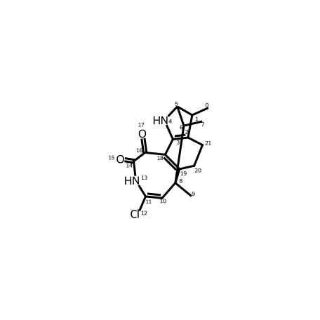 CC1C2=C3NC1C(C)C1(C)/C=C(/Cl)NC(=O)C(=O)C3=C1CC2